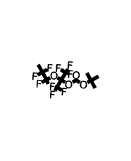 CC(C)(C)OC(=O)OC(OC(C)(F)C(C)(F)F)(C(F)(F)F)C(F)(F)F